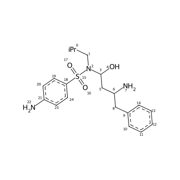 CC(C)CN(C(O)CC(N)Cc1ccccc1)S(=O)(=O)c1ccc(N)cc1